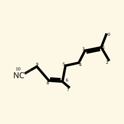 CC(C)=CCCC(C)=CCC#N